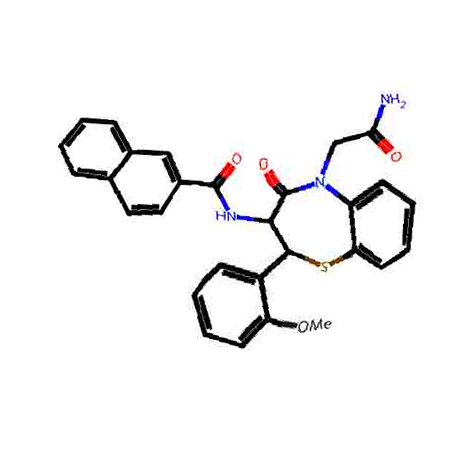 COc1ccccc1C1Sc2ccccc2N(CC(N)=O)C(=O)C1NC(=O)c1ccc2ccccc2c1